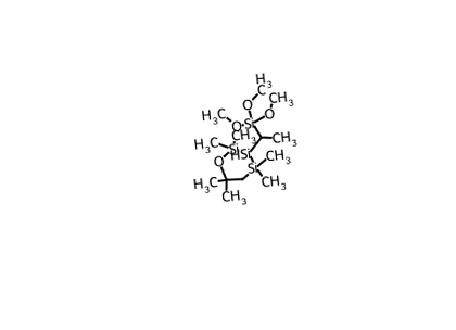 CO[Si](OC)(OC)C(C)[SiH]1[Si](C)(C)CC(C)(C)O[Si]1(C)C